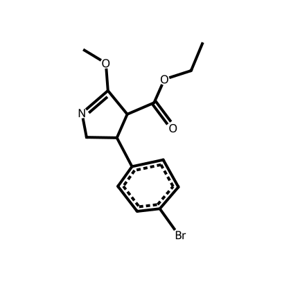 CCOC(=O)C1C(OC)=NCC1c1ccc(Br)cc1